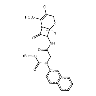 CC(C)(C)OC(=O)N(CC(=O)NC1C(=O)N2C(C(=O)O)=C(Cl)CS[C@@H]12)c1ccc2ccccc2c1